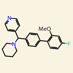 COc1cc(F)ccc1-c1ccc(C(c2ccncc2)N2CCCCC2)cc1